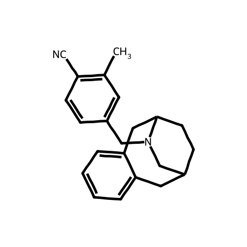 Cc1cc(CN2CC3CCC2Cc2ccccc2C3)ccc1C#N